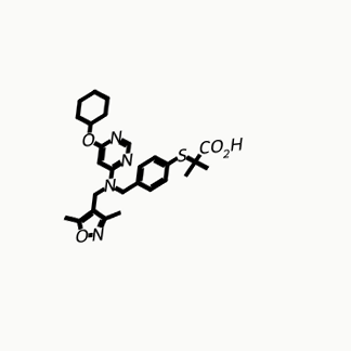 Cc1noc(C)c1CN(Cc1ccc(SC(C)(C)C(=O)O)cc1)c1cc(OC2CCCCC2)ncn1